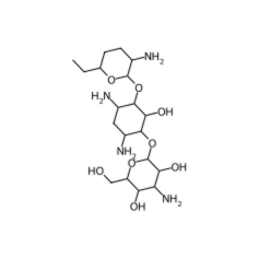 CCC1CCC(N)C(OC2C(N)CC(N)C(OC3OC(CO)C(O)C(N)C3O)C2O)O1